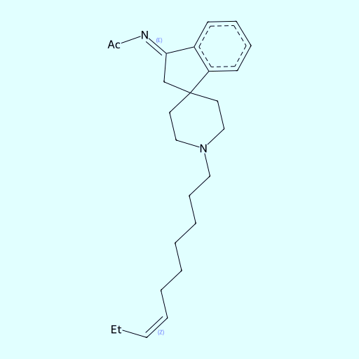 CC/C=C\CCCCCCN1CCC2(CC1)C/C(=N\C(C)=O)c1ccccc12